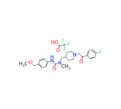 COCc1ccc(NC(=O)N(C)CC2CCN(CC(=O)c3ccc(F)cc3)CC2)cc1.O=C(O)C(F)(F)F